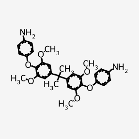 COc1cc(C(C)(C)c2cc(OC)c(Oc3ccc(N)cc3)c(OC)c2)cc(OC)c1Oc1ccc(N)cc1